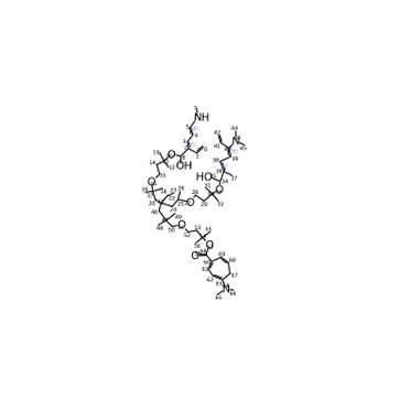 C=C/C(=C\C=C\NC)C(O)OC(C)(C)CCOC(C)(C)CC(CC)(CC(C)OCCC(C)(C)OC(O)/C(C)=C/C=C(\C=C)N(C)C)CC(C)(C)COCCC(C)(C)OC(=O)C1=CC=C(N(C)C)CC=C1